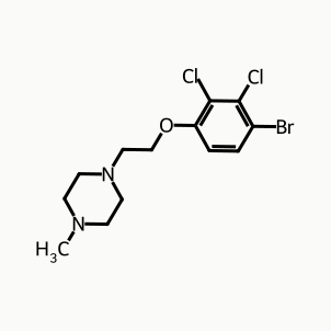 CN1CCN(CCOc2ccc(Br)c(Cl)c2Cl)CC1